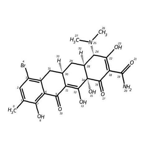 Cc1cc(Br)c2c(c1O)C(=O)C1=C(O)[C@]3(O)C(=O)C(C(N)=O)=C(O)[C@@H](N(C)C)[C@@H]3C[C@@H]1C2